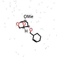 CO[C@@H]1C[C@H](OCC2C=CCCC2)[C@H]2COC1O2